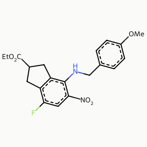 CCOC(=O)C1Cc2c(F)cc([N+](=O)[O-])c(NCc3ccc(OC)cc3)c2C1